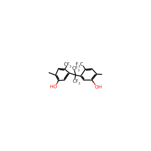 Cc1cc(C(F)(F)F)c(C(c2cc(O)c(C)cc2C(F)(F)F)(C(F)(F)F)C(F)(F)F)cc1O